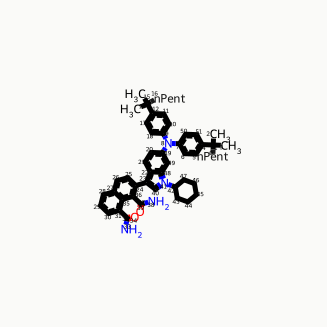 CCCCCC(C)(C)c1ccc(N(c2ccc(C(C)(C)CCCCC)cc2)c2ccc3c(-c4ccc5cccc(C(N)=O)c5c4C(N)=O)cn(C4CCCCC4)c3c2)cc1